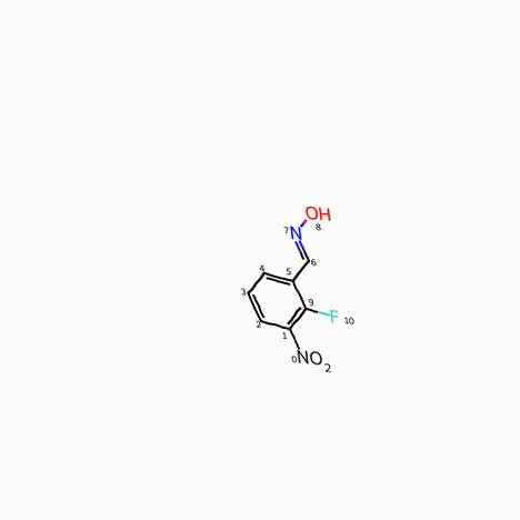 O=[N+]([O-])c1cccc(/C=N/O)c1F